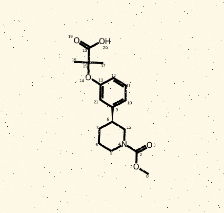 COC(=O)N1CCC[C@@H](c2cccc(OC(C)(C)C(=O)O)c2)C1